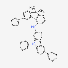 CC1(C)c2ccc(-c3ccccc3)cc2-c2c(Nc3ccc4c5cc(-c6ccccc6)ccc5n(-c5ccccc5)c4c3)cccc21